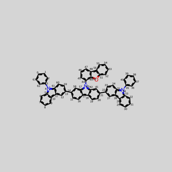 c1ccc(-n2c3ccccc3c3cc(-c4ccc5c6ccc(-c7ccc8c(c7)c7ccccc7n8-c7ccccc7)cc6n(-c6cccc7c6oc6ccccc67)c5c4)ccc32)cc1